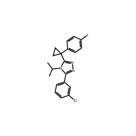 CC(C)n1c(-c2cccc(Cl)c2)nnc1C1(c2ccc(F)cc2)CC1